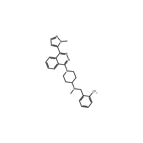 CN(Cc1ccccc1C(F)(F)F)C1CCN(c2nnc(-c3ccnn3C)c3ccccc23)CC1